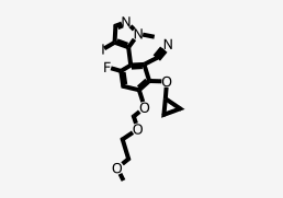 COCCOCOc1cc(F)c(-c2c(I)cnn2C)c(C#N)c1OC1CC1